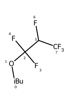 CCC(C)OC(F)(F)C(F)C(F)(F)F